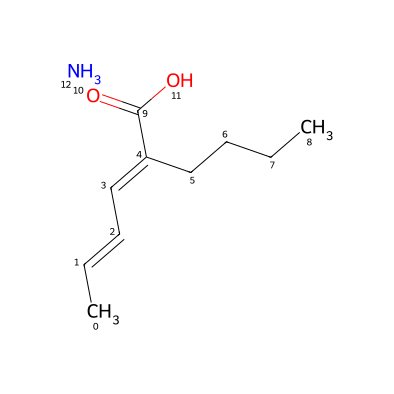 C/C=C/C=C(\CCCC)C(=O)O.N